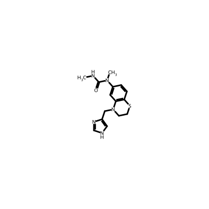 CNC(=O)N(C)c1ccc2c(c1)N(Cc1c[nH]cn1)CCS2